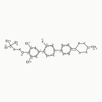 CCc1cc(-c2ccc(-c3ccc(C4CCC(C)CC4)cc3)cc2F)cc(CC)c1OCCC(CC)(CC)CC